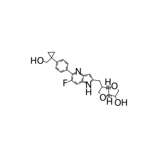 OCC1(c2ccc(-c3nc4cc(CC5CO[C@@H]6C(O)CO[C@H]56)[nH]c4cc3F)cc2)CC1